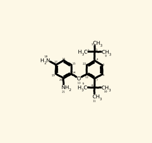 CC(C)(C)c1ccc(C(C)(C)C)c(Oc2ccc(N)cc2N)c1